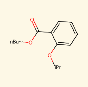 CCCCOC(=O)c1ccccc1OC(C)C